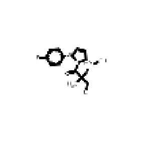 CCC(C)(CCl)C(=O)N1[C@@H](CO)C=C[C@H]1c1ccc(F)cc1